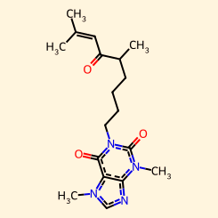 CC(C)=CC(=O)C(C)CCCCn1c(=O)c2c(ncn2C)n(C)c1=O